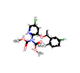 COc1ccc(F)cc1C(C)Oc1cc(Br)cnc1N(C(=O)OC(C)(C)C)C(=O)OC(C)(C)C